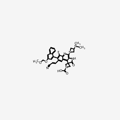 COCOc1cc(-c2c(/C=C/C#N)cc3c4c(c(N5CC(N(C)C)C5)nc3c2F)NC(=O)C42CN(C(=O)O)C2)c2ccccc2c1